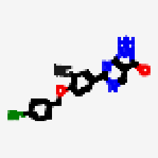 N#Cc1cc(-c2ncc3c(=O)[nH][nH]c3n2)ccc1OCc1ccc(Br)cc1